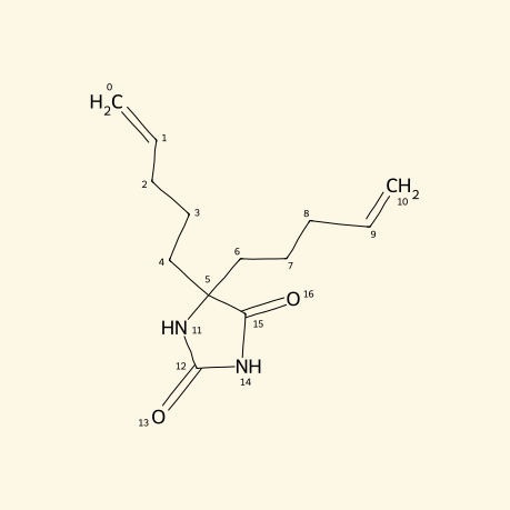 C=CCCCC1(CCCC=C)NC(=O)NC1=O